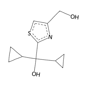 OCc1csc(C(O)(C2CC2)C2CC2)n1